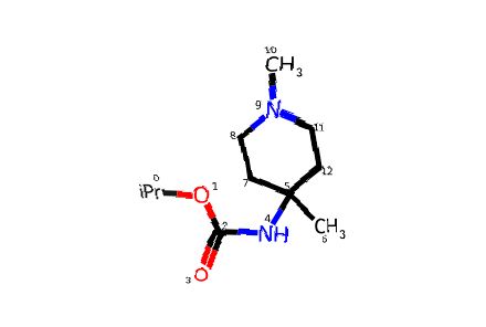 CC(C)OC(=O)NC1(C)CCN(C)CC1